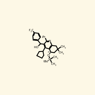 CC(C)c1nc2c(c(C3CCCC3)c1C(O)c1ccc(C(F)(F)F)cc1)[C@H](O[Si](C)(C)C(C)(C)C)CC(C)(C)C2